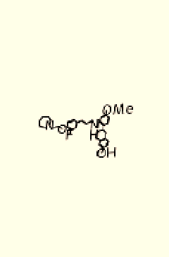 COc1ccc([C@H]2CCc3cc(O)ccc3C2)c(NCCCc2ccc(OCCN3CCCCCC3)c(F)c2)c1